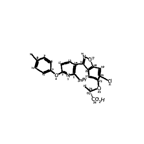 CCCc1nc(Oc2ccc(C)cc2)ccc1-c1noc2cc(Cl)c(O[C@@H](C)C(=O)O)cc12